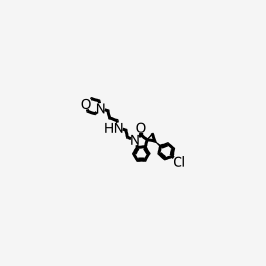 O=C1N(CCNCCCN2CCOCC2)c2ccccc2[C@]12C[C@H]2c1ccc(Cl)cc1